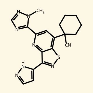 Cn1ncnc1-c1cc(C2(C#N)CCCCC2)c2snc(-c3ccn[nH]3)c2n1